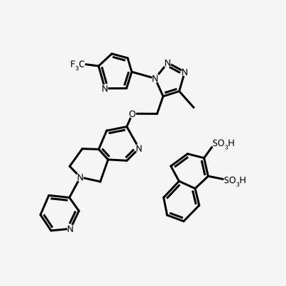 Cc1nnn(-c2ccc(C(F)(F)F)nc2)c1COc1cc2c(cn1)CN(c1cccnc1)CC2.O=S(=O)(O)c1ccc2ccccc2c1S(=O)(=O)O